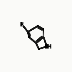 Fc1ccc2c(c1)CB2